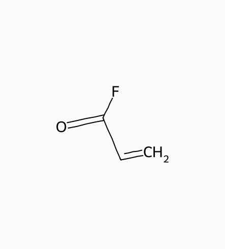 C=CC(=O)F